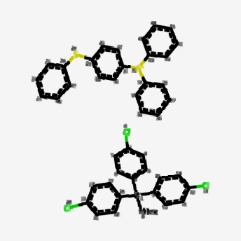 CCCCCC[B-](c1ccc(Cl)cc1)(c1ccc(Cl)cc1)c1ccc(Cl)cc1.c1ccc(Sc2ccc([S+](c3ccccc3)c3ccccc3)cc2)cc1